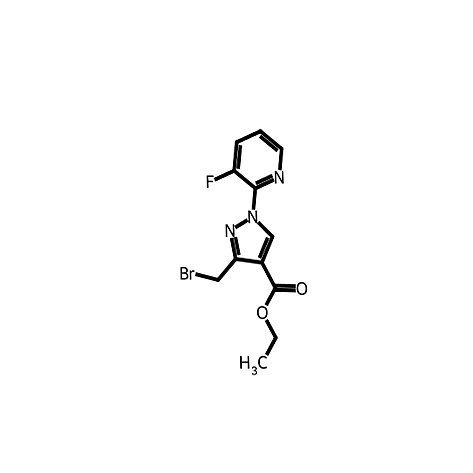 CCOC(=O)c1cn(-c2ncccc2F)nc1CBr